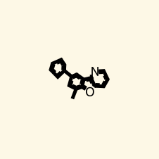 Cc1cc(-c2ccccc2)cc2c1oc1cccnc12